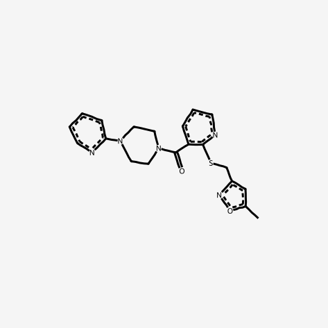 Cc1cc(CSc2ncccc2C(=O)N2CCN(c3ccccn3)CC2)no1